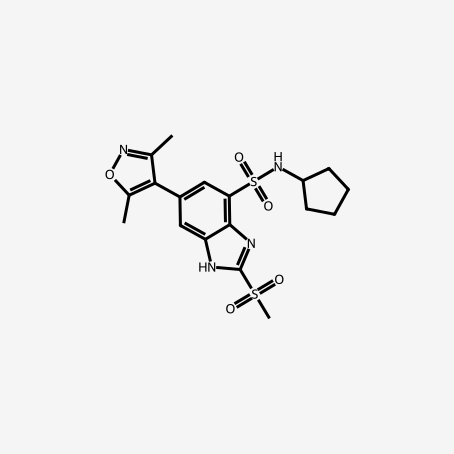 Cc1noc(C)c1-c1cc(S(=O)(=O)NC2CCCC2)c2nc(S(C)(=O)=O)[nH]c2c1